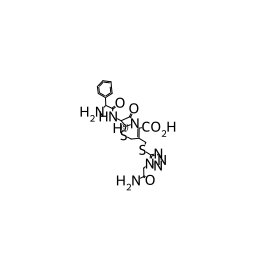 NC(=O)Cn1nnnc1SCC1=C(C(=O)O)N2C(=O)C(NC(=O)C(N)c3ccccc3)[C@@H]2SC1